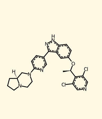 C[C@@H](Oc1ccc2[nH]nc(-c3ccc(N4CCN5CCC[C@H]5C4)nc3)c2c1)c1c(Cl)cncc1Cl